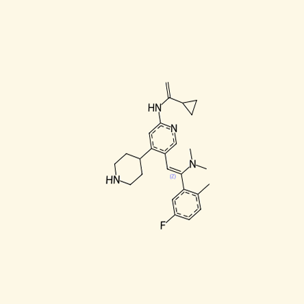 C=C(Nc1cc(C2CCNCC2)c(/C=C(/c2cc(F)ccc2C)N(C)C)cn1)C1CC1